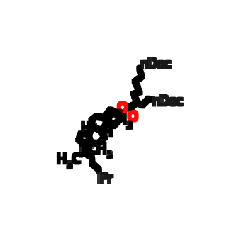 CCCCCCCCCCCCCCCC(CCCCCCCCCCCC)C(=O)O[C@H]1CC[C@@]2(C)C(=CC[C@H]3[C@@H]4CC[C@H]([C@H](C)CCCC(C)C)[C@@]4(C)CC[C@@H]32)C1